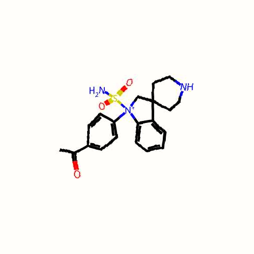 CC(=O)c1ccc([N+]2(S(N)(=O)=O)CC3(CCNCC3)c3ccccc32)cc1